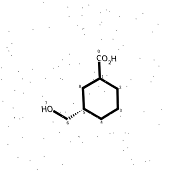 O=C(O)C1CCC[C@H](CO)C1